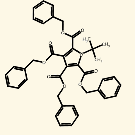 CC(C)(C)n1c(C(=O)OCc2ccccc2)c(C(=O)OCc2ccccc2)c(C(=O)OCc2ccccc2)c1C(=O)OCc1ccccc1